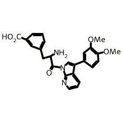 COc1ccc(-c2cn(C(=O)C(N)Cc3cccc(C(=O)O)c3)c3ncccc23)cc1OC